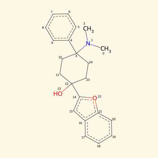 CN(C)C1(c2ccccc2)CCC(O)(c2cc3ccccc3o2)CC1